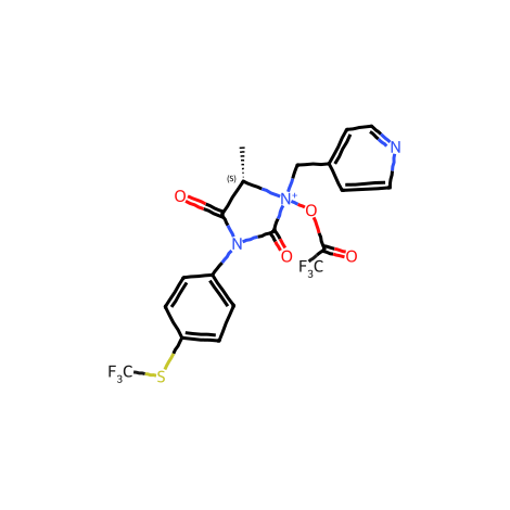 C[C@H]1C(=O)N(c2ccc(SC(F)(F)F)cc2)C(=O)[N+]1(Cc1ccncc1)OC(=O)C(F)(F)F